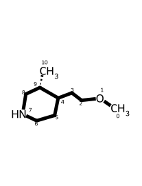 COCCC1CCNC[C@@H]1C